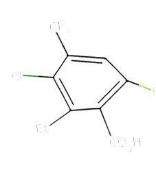 CCc1c(Cl)c(C(F)(F)F)cc(F)c1C(=O)O